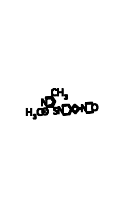 COc1ncc(C)cc1SN1CCC2(CC1)CC(N1CCOCC1)C2